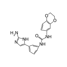 Nc1ncc(-c2cccc(NC(=O)Nc3ccc4c(c3)OCCO4)c2)[nH]1